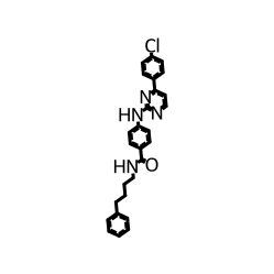 O=C(NCCCCc1ccccc1)c1ccc(Nc2nccc(-c3ccc(Cl)cc3)n2)cc1